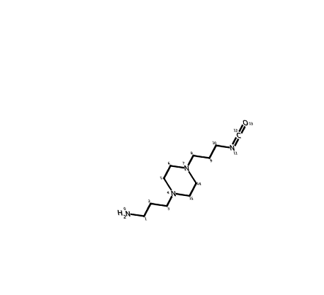 NCCCN1CCN(CCCN=C=O)CC1